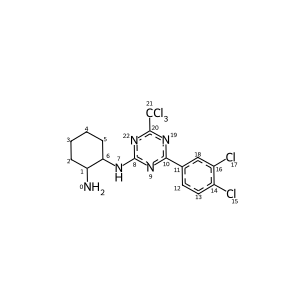 NC1CCCCC1Nc1nc(-c2ccc(Cl)c(Cl)c2)nc(C(Cl)(Cl)Cl)n1